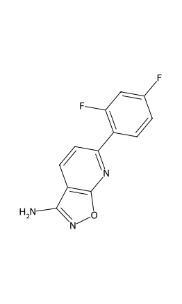 Nc1noc2nc(-c3ccc(F)cc3F)ccc12